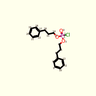 O=P(Cl)(OCCCc1ccccc1)OCCCc1ccccc1